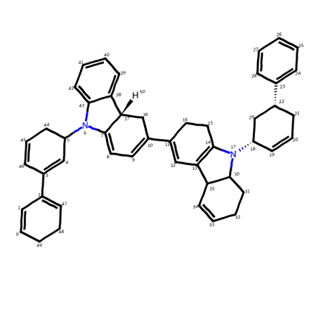 C1=CC(C2=CC(N3C4=CC=C(C5=CC6=C(CC5)N([C@H]5C=CC[C@@H](c7ccccc7)C5)C5CCC=CC65)C[C@H]4c4ccccc43)CC=C2)=CCC1